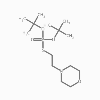 CC(C)(C)OP(=O)(OC(C)(C)C)SCCN1CCOCC1